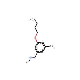 CC(C)NCc1cc(OCCCC(=O)O)cc(C(F)(F)F)c1